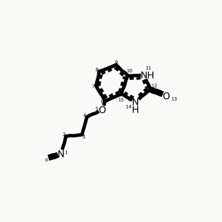 C=NCCCOc1cccc2[nH]c(=O)[nH]c12